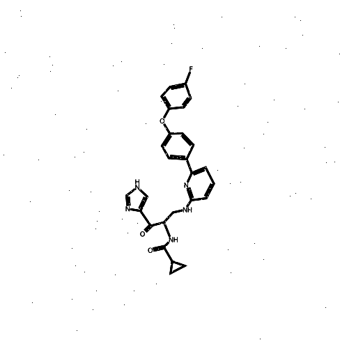 O=C(NC(CNc1cccc(-c2ccc(Oc3ccc(F)cc3)cc2)n1)C(=O)c1c[nH]cn1)C1CC1